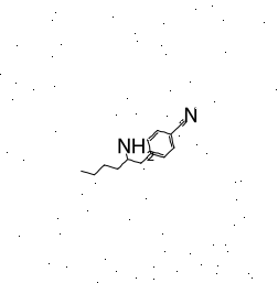 CCCCC(N)Cc1ccc(C#N)cc1